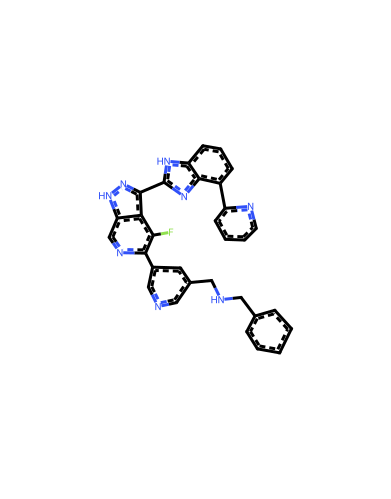 Fc1c(-c2cncc(CNCc3ccccc3)c2)ncc2[nH]nc(-c3nc4c(-c5ccccn5)cccc4[nH]3)c12